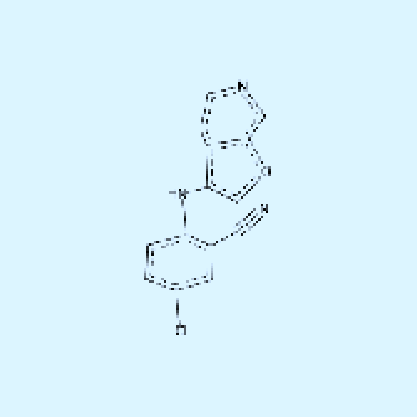 N#Cc1cc(Cl)ccc1Nc1coc2cnccc12